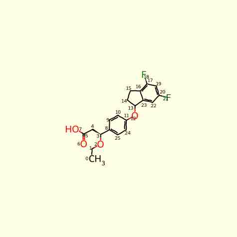 CCO[C@@H](CC(=O)O)c1ccc(OC2CCc3c(F)cc(F)cc32)cc1